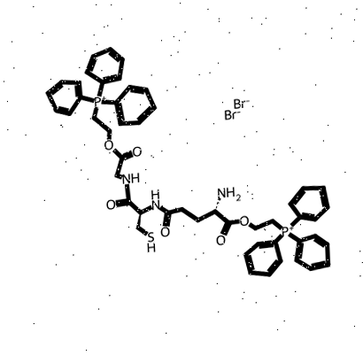 N[C@@H](CCC(=O)N[C@@H](CS)C(=O)NCC(=O)OCC[P+](c1ccccc1)(c1ccccc1)c1ccccc1)C(=O)OCC[P+](c1ccccc1)(c1ccccc1)c1ccccc1.[Br-].[Br-]